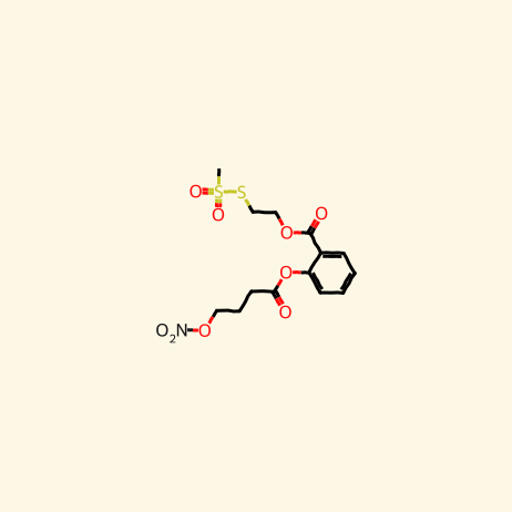 CS(=O)(=O)SCCOC(=O)c1ccccc1OC(=O)CCCO[N+](=O)[O-]